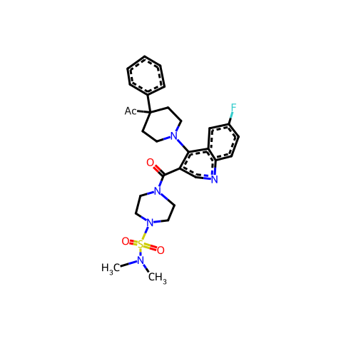 CC(=O)C1(c2ccccc2)CCN(c2c(C(=O)N3CCN(S(=O)(=O)N(C)C)CC3)cnc3ccc(F)cc23)CC1